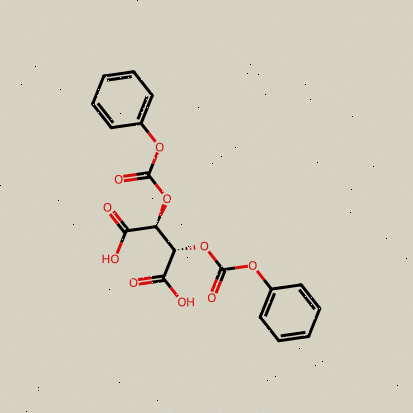 O=C(Oc1ccccc1)O[C@H](C(=O)O)[C@H](OC(=O)Oc1ccccc1)C(=O)O